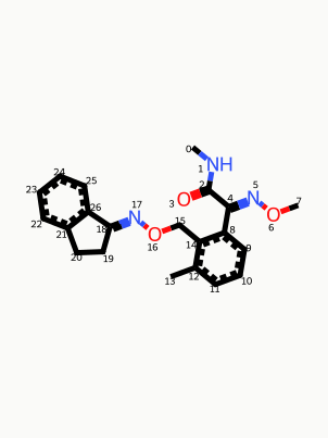 CNC(=O)/C(=N/OC)c1cccc(C)c1CO/N=C1\CCc2ccccc21